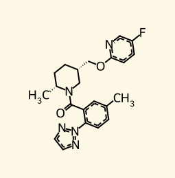 Cc1ccc(-n2nccn2)c(C(=O)N2C[C@@H](COc3ccc(F)cn3)CC[C@H]2C)c1